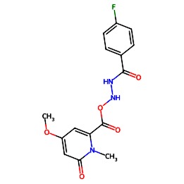 COc1cc(C(=O)ONNC(=O)c2ccc(F)cc2)n(C)c(=O)c1